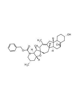 CC1=C2C[C@H]3[C@@H](CC=C4C[C@@H](O)CC[C@@]43C)[C@@H]2CC[C@@]2(C1)O[C@@H]1C[C@H](C)CN(C(=O)OCc3ccccc3)[C@H]1[C@H]2C